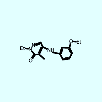 CCOc1cccc(CNc2cnn(CC)c(=O)c2C)c1